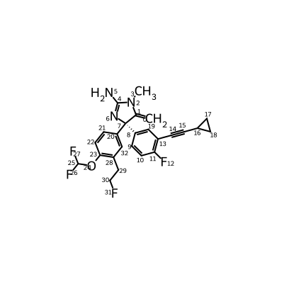 C=C1N(C)C(N)=N[C@]1(c1ccc(F)c(C#CC2CC2)c1)c1ccc(OC(F)F)c(CCF)c1